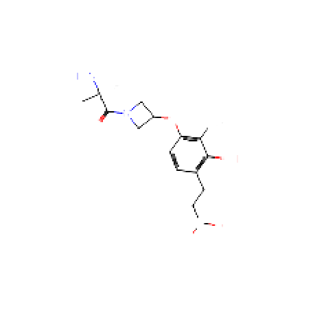 CC[C@](C)(N)C(=O)N1CC(Oc2ccc(CCB(O)O)c(O)c2C(=O)O)C1